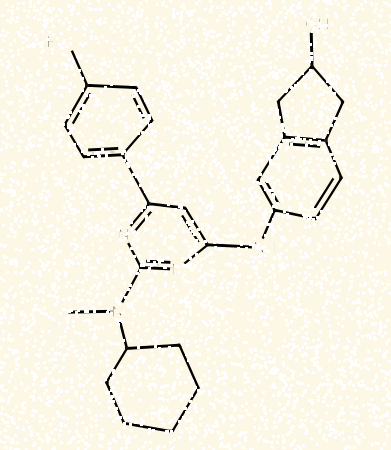 CN(c1nc(Nc2ccc3c(c2)CC(O)C3)cc(-c2ccc(C(F)(F)F)cc2)n1)C1CCCCC1